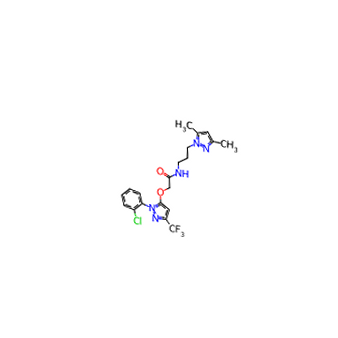 Cc1cc(C)n(CCCNC(=O)COc2cc(C(F)(F)F)nn2-c2ccccc2Cl)n1